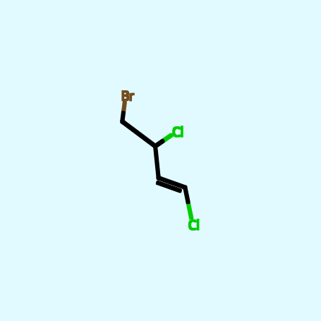 ClC=CC(Cl)CBr